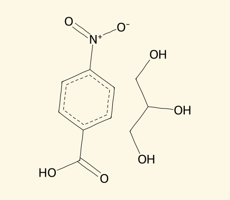 O=C(O)c1ccc([N+](=O)[O-])cc1.OCC(O)CO